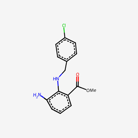 COC(=O)c1cccc(N)c1NCc1ccc(Cl)cc1